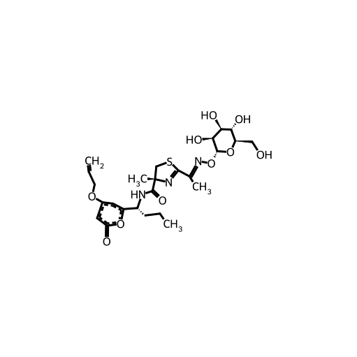 C=CCOc1cc([C@@H](CCC)NC(=O)[C@]2(C)CSC(/C(C)=N/O[C@H]3O[C@H](CO)[C@@H](O)[C@H](O)[C@@H]3O)=N2)oc(=O)c1